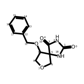 O=C1NC(=O)C2(COCC2OCc2ccccc2)N1